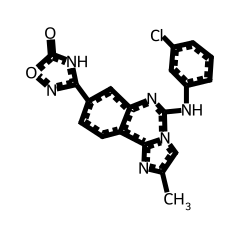 Cc1cn2c(Nc3cccc(Cl)c3)nc3cc(-c4noc(=O)[nH]4)ccc3c2n1